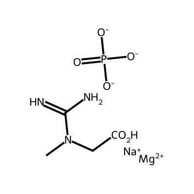 CN(CC(=O)O)C(=N)N.O=P([O-])([O-])[O-].[Mg+2].[Na+]